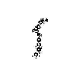 CCC1(C(=O)NC2CCC2)CCN(c2ccc(-c3nc(-c4cnn(C5CCC(N6CCN(c7c(F)cc(N[C@H]8CCC(=O)NC8=O)cc7F)CC6)CC5)c4)cn4ncc(C#N)c34)cn2)CC1